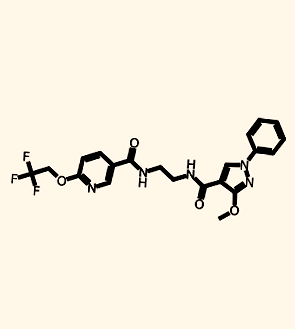 COc1nn(-c2ccccc2)cc1C(=O)NCCNC(=O)c1ccc(OCC(F)(F)F)nc1